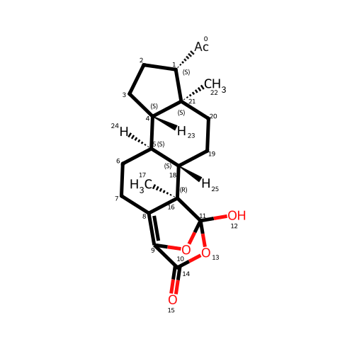 CC(=O)[C@H]1CC[C@H]2[C@@H]3CCC4=C5OC(O)(OC5=O)[C@]4(C)[C@H]3CC[C@]12C